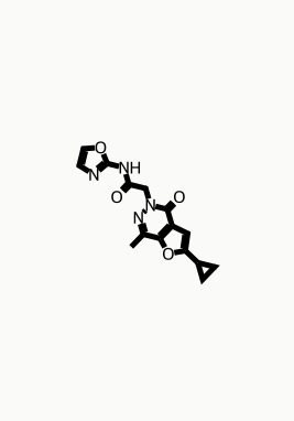 Cc1nn(CC(=O)Nc2ncco2)c(=O)c2cc(C3CC3)oc12